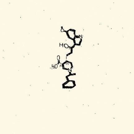 C=C(Cc1ccccc1)N1CC[C@@H](CC[C@@H](O)c2ccnc3ccc(OC)cc23)[C@@H](C(=O)O)C1